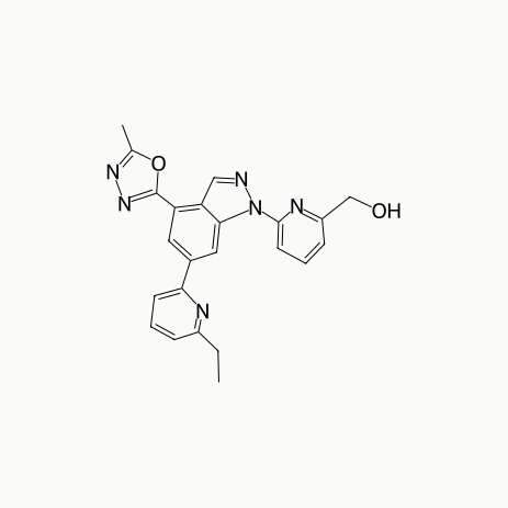 CCc1cccc(-c2cc(-c3nnc(C)o3)c3cnn(-c4cccc(CO)n4)c3c2)n1